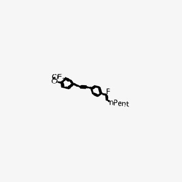 CCCCCC=C(F)c1ccc(C#Cc2ccc(OC(F)(F)F)cc2)cc1